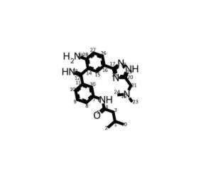 CC(C)CC(=O)Nc1cccc(C(=N)c2cc(-c3n[nH]c(CN(C)C)n3)ccc2N)c1